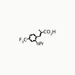 CCCc1cc(C(F)(F)F)ccc1C=C(C)C(=O)O